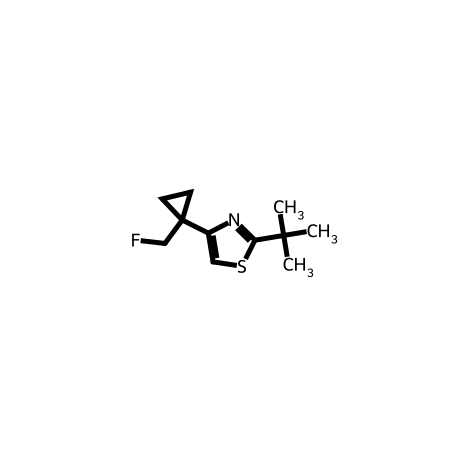 CC(C)(C)c1nc(C2(CF)CC2)cs1